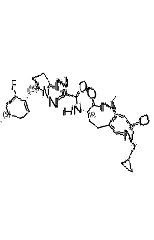 C[C@@H]1C=C(F)C([C@@H]2CCc3nc(C(=O)N[C@H]4CCc5cn(CC6CC6)c(=O)cc5N(C)C4=O)nn32)=CC1